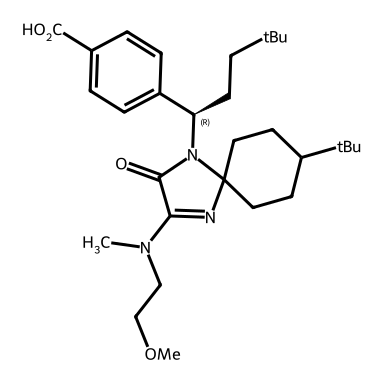 COCCN(C)C1=NC2(CCC(C(C)(C)C)CC2)N([C@H](CCC(C)(C)C)c2ccc(C(=O)O)cc2)C1=O